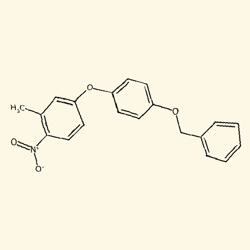 Cc1cc(Oc2ccc(OCc3ccccc3)cc2)ccc1[N+](=O)[O-]